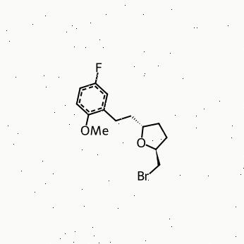 COc1ccc(F)cc1CC[C@@H]1CC[C@@H](CBr)O1